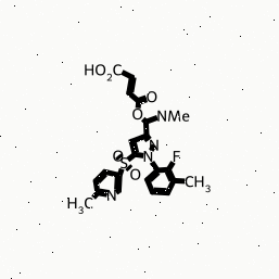 CNC(OC(=O)/C=C/C(=O)O)c1cc(S(=O)(=O)c2ccc(C)nc2)n(-c2cccc(C)c2F)n1